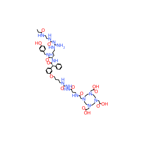 CCC(=O)NCCNC(=O)/N=C(/N)NCCC[C@@H](NC(=O)[C@@H](c1ccccc1)c1cccc(OCCCCNC(=O)NNC(=O)CCNC(=O)CN2CCN(CC(=O)O)CCN(CC(=O)O)CCN(CC(=O)O)CC2)c1)C(=O)NCc1ccc(O)cc1